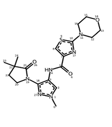 Cn1cc(NC(=O)c2csc(N3CCOCC3)n2)c(N2CCC(C)(C)C2=O)n1